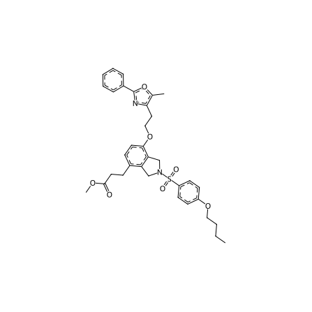 CCCCOc1ccc(S(=O)(=O)N2Cc3c(CCC(=O)OC)ccc(OCCc4nc(-c5ccccc5)oc4C)c3C2)cc1